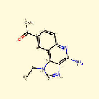 COC(=O)c1ccc2nc(N)c3ncn(CC(C)C)c3c2c1